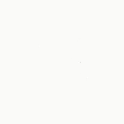 COc1cc2ccc(=O)oc2c(OC)c1C